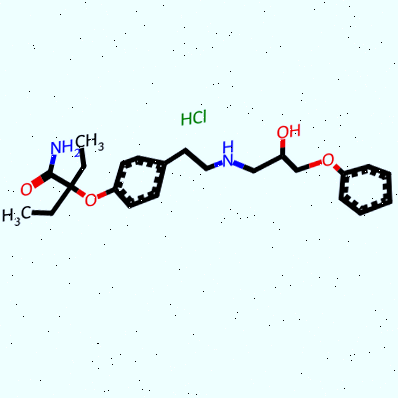 CCC(CC)(Oc1ccc(CCNCC(O)COc2ccccc2)cc1)C(N)=O.Cl